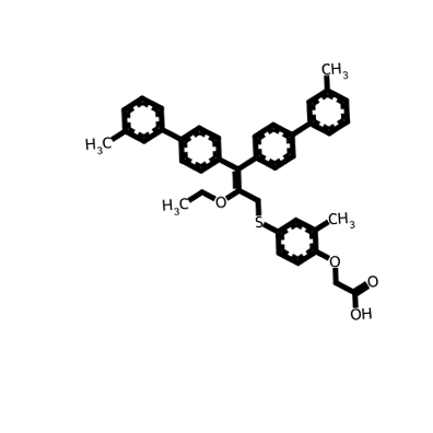 CCOC(CSc1ccc(OCC(=O)O)c(C)c1)=C(c1ccc(-c2cccc(C)c2)cc1)c1ccc(-c2cccc(C)c2)cc1